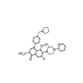 O=C(O)c1cn(-c2ccc(CN3CCCC3)cc2)c2c(OC(F)(F)F)c(N3CCN(c4ccccn4)CC3)c(F)cc2c1=O